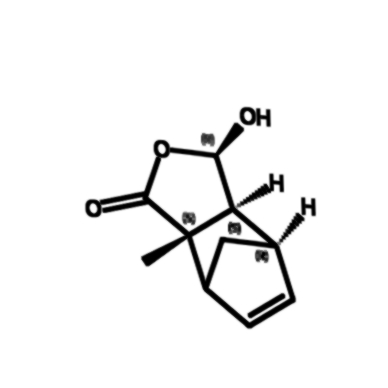 C[C@@]12C(=O)O[C@@H](O)[C@H]1[C@H]1C=CC2C1